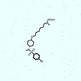 CCCCCN(C)CCCCCCO[C@H]1CC[C@H](N(C)S(=O)(=O)c2ccc(Br)cc2)CC1